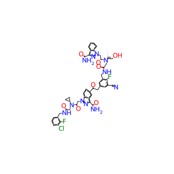 C[C@H](CO)N(CC(=O)NCc1cc(CC(=O)c2ccc3c(c2)c(C(N)=O)nn3CC(=O)N(CC(=O)NCc2cccc(Cl)c2F)C2CC2)cc(C#N)c1F)C(=O)Cn1nc(C(N)=O)c2ccccc21